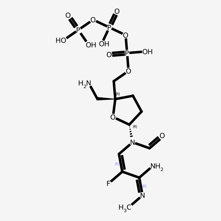 C/N=C(N)\C(F)=C/N(C=O)[C@H]1CC[C@@](CN)(COP(=O)(O)OP(=O)(O)OP(=O)(O)O)O1